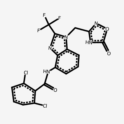 O=C(Nc1cccc2c1nc(C(F)(F)F)n2Cc1noc(=O)[nH]1)c1c(Cl)cccc1Cl